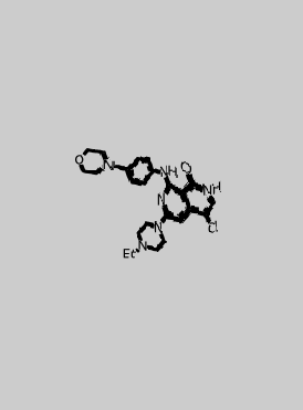 CCN1CCN(c2cc3c(Cl)c[nH]c(=O)c3c(Nc3ccc(N4CCOCC4)cc3)n2)CC1